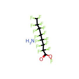 N.O=C(OF)C(F)(F)C(F)(F)C(F)(F)C(F)(F)C(F)(F)C(F)(F)C(F)F